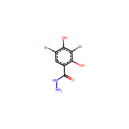 NNC(=O)c1cc(Br)c(O)c(Br)c1O